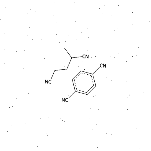 CC(C#N)CCC#N.N#Cc1ccc(C#N)cc1